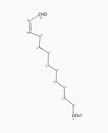 CCCCCCCCCCCCCCCCC/C=C\[C]=O